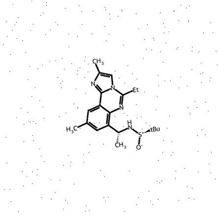 CCc1nc2c([C@@H](C)N[S@+]([O-])C(C)(C)C)cc(C)cc2c2nc(C)cn12